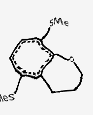 CSc1ccc(SC)c2c1CCCO2